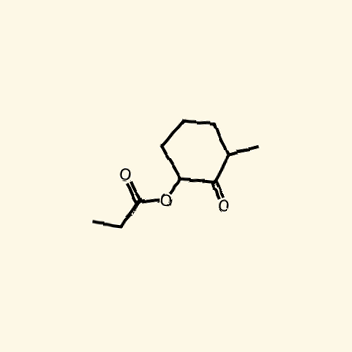 CCC(=O)OC1CCCC(C)C1=O